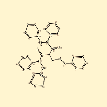 O=C(C(CCSc1ccccc1)C(=O)N(Nc1ccccc1)c1ccccc1)N(Nc1ccccc1)c1ccccc1